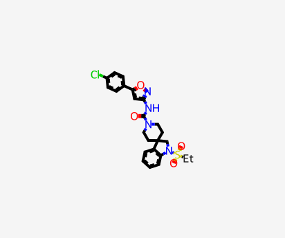 CCS(=O)(=O)N1CC2(CCN(C(=O)Nc3cc(-c4ccc(Cl)cc4)on3)CC2)c2ccccc21